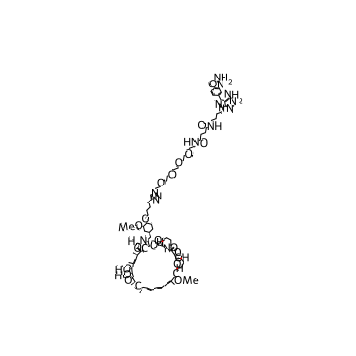 CO[C@H]1C[C@@H]2CC[C@@H](C)[C@@](O)(O2)C(=O)C(=O)N2CCCC[C@H]2C(=O)O[C@H]([C@H](N)C[C@@H]2CC[C@@H](OCCCCc3cn(CCOCCOCCOCCOCCNC(=O)CCC(=O)NCCCCn4nc(-c5ccc6oc(N)nc6c5)c5c(N)ncnc54)nn3)[C@H](OC)C2)CC(=O)[C@H](C)/C=C(\C)[C@@H](O)[C@@H](O)C(=O)[C@H](C)C[C@H](C)/C=C/C=C/C=C/1C